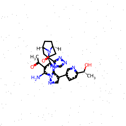 CC(=O)c1c([C@H]2C[C@H]3CC[C@@H](C2)N3C(=O)c2nnc[nH]2)nc2c(-c3ccc([C@@H](C)O)nc3)cnn2c1N